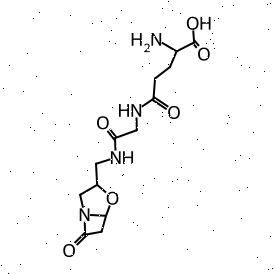 NC(CCC(=O)NCC(=O)NCC1CN2C(=O)CC2O1)C(=O)O